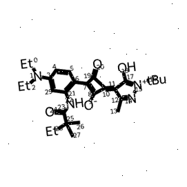 CCN(CC)c1ccc(C2=C([O-])/C(=C3\C(C)=N[N+](C(C)(C)C)=C3O)C2=O)c(NC(=O)C(C)(C)CC)c1